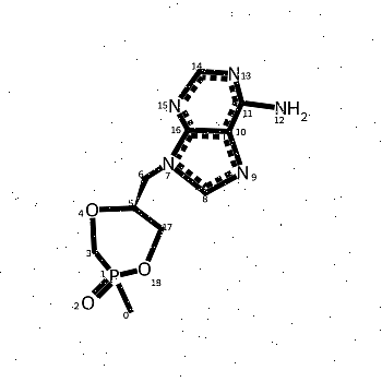 CP1(=O)CO[C@@H](Cn2cnc3c(N)ncnc32)CO1